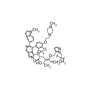 C=C/C(CC(Oc1nsc2cnc(-c3ccc4c(ccn4C)c3)c(-c3ccc(OCCN4CCN(C)CC4)c(Cl)c3C)c12)C(=O)O)=C(\C=C)OCc1ccnn1CC(C)(F)F